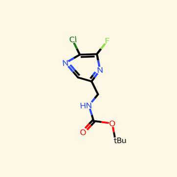 CC(C)(C)OC(=O)NCc1cnc(Cl)c(F)n1